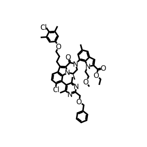 CCOC(=O)c1cc2cc(C)cc(N3C[C@@H](C)n4c(c(CCCOc5cc(C)c(Cl)c(C)c5)c5ccc(Cl)c(-c6c(C)nc(COCc7ccccc7)nc6C)c54)C3=O)c2n1CCOC